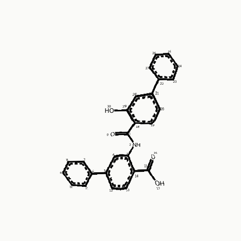 O=C(Nc1cc(-c2ccccc2)ccc1C(=O)O)c1ccc(-c2ccccc2)cc1O